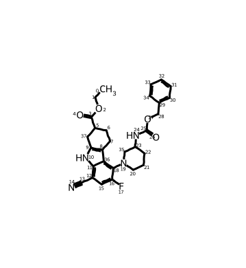 CCOC(=O)C1CCc2c([nH]c3c(C#N)cc(F)c(N4CCCC(NC(=O)OCc5ccccc5)C4)c23)C1